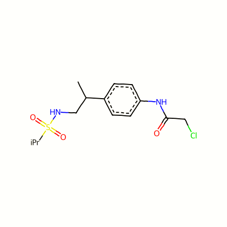 CC(CNS(=O)(=O)C(C)C)c1ccc(NC(=O)CCl)cc1